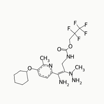 Cc1nc(/C(N)=C(\CNC(=O)OCC(F)(F)C(F)(F)F)N(C)N)ccc1OC1CCCCC1